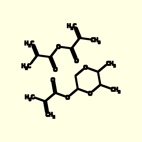 C=C(C)C(=O)OC(=O)C(=C)C.C=C(C)C(=O)OC1COC(C)C(C)O1